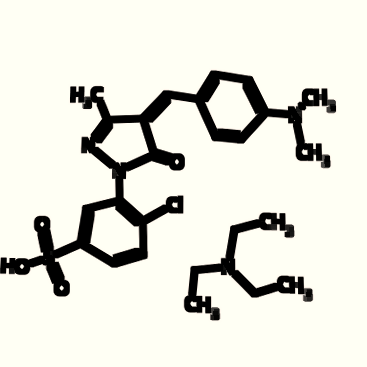 CC1=NN(c2cc(S(=O)(=O)O)ccc2Cl)C(=O)/C1=C\c1ccc(N(C)C)cc1.CCN(CC)CC